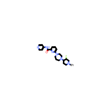 CC(C)N1CCC(N2CCCN(c3cccc(C(=O)Nc4ccncc4)n3)CC2)C(F)C1